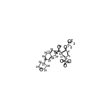 C[C@H](Oc1ccc(S(=O)(=O)Cl)cc1C(=O)N1C=C2CC=C(C3CCOCC3)C=C2C1)C(F)(F)F